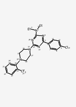 CCN(CC)c1nc(-c2ccc(Cl)cc2)nc(N2CCN(c3ncccc3C(F)(F)F)CC2)n1